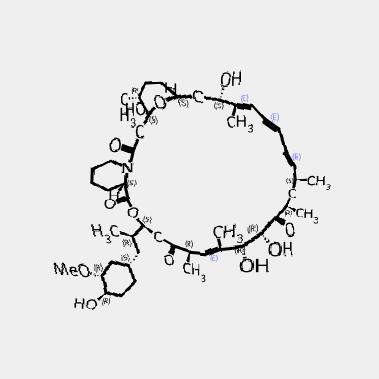 CO[C@@H]1C[C@H](C[C@@H](C)[C@@H]2CC(=O)[C@H](C)/C=C(\C)[C@@H](O)[C@@H](O)C(=O)[C@H](C)C[C@H](C)/C=C/C=C/C=C(\C)[C@@H](O)C[C@@H]3CC[C@@H](C)[C@](O)(CC(=O)N4CCCC[C@H]4C(=O)O2)O3)CC[C@H]1O